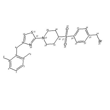 Cc1cccc(C)c1Cc1csc(N2CCC(S(=O)(=O)c3ccc(CBr)cc3)CC2)n1